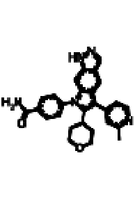 Cc1cc(-c2c(C3CCOCC3)n(-c3ccc(C(N)=O)cc3)c3cc4[nH]ncc4cc23)ccn1